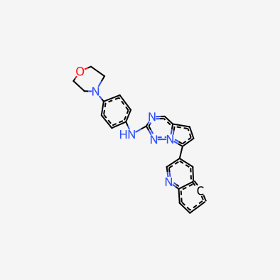 c1ccc2ncc(-c3ccc4cnc(Nc5ccc(N6CCOCC6)cc5)nn34)cc2c1